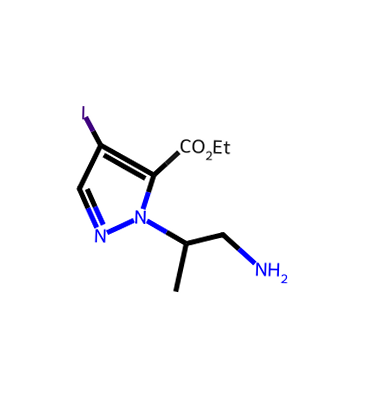 CCOC(=O)c1c(I)cnn1C(C)CN